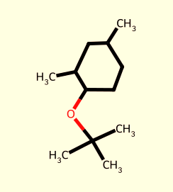 CC1CCC(OC(C)(C)C)C(C)C1